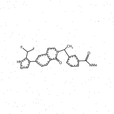 CNC(=O)c1cccc(C(C)n2ccc3cc(-c4cn[nH]c4C(F)F)ccc3c2=O)c1